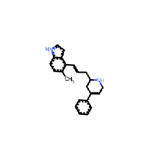 Cc1ccc2[nH]ccc2c1C=CCC1CC(c2ccccc2)=CCN1